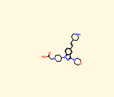 O=C(O)CN1CCC(n2nc(N3CCOCC3)c3cc(/C=C/C4CCNCC4)ccc32)CC1